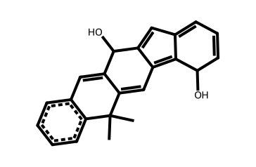 CC1(C)C2=CC3=C4C(=CC=CC4O)C=C3C(O)C2=Cc2ccccc21